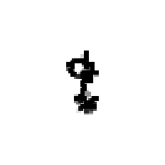 CCc1noc(CC)c1C(=O)OCCCn1nc(CC)c2c1CCCOCCCNC2=O